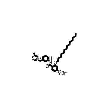 CCCCCCCCCCCCCCOc1cc(OC)ccc1C(=O)Nc1cccc(C[n+]2csc(C)c2)c1.[Br-]